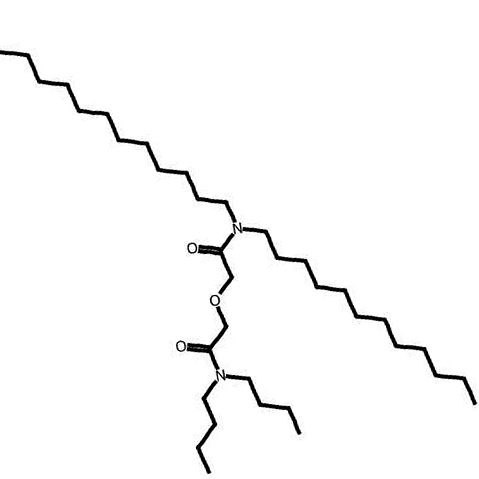 CCCCCCCCCCCCN(CCCCCCCCCCCC)C(=O)COCC(=O)N(CCCC)CCCC